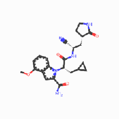 COc1cccc2c1cc(C(N)=O)n2[C@@H](CC1CC1)C(=O)N[C@H](C#N)C[C@@H]1CCNC1=O